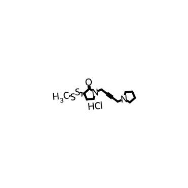 CSS[C@@H]1CCN(CC#CCN2CCCC2)C1=O.Cl